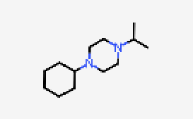 CC(C)N1CCN(C2CCCCC2)CC1